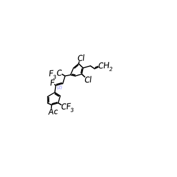 C=CCc1c(Cl)cc(C(/C=C(\F)c2ccc(C(C)=O)c(C(F)(F)F)c2)C(F)(F)F)cc1Cl